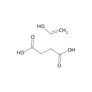 C=CO.O=C(O)CCC(=O)O